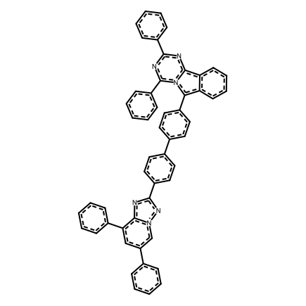 c1ccc(-c2cc(-c3ccccc3)c3nc(-c4ccc(-c5ccc(-c6c7ccccc7c7nc(-c8ccccc8)nc(-c8ccccc8)n67)cc5)cc4)nn3c2)cc1